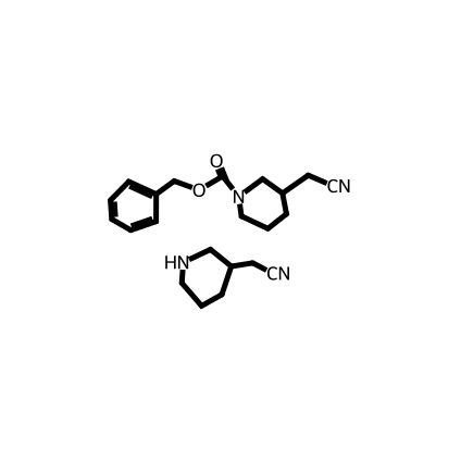 N#CCC1CCCN(C(=O)OCc2ccccc2)C1.N#CCC1CCCNC1